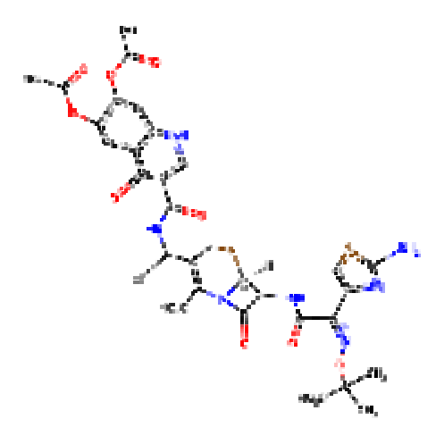 CCC(NC(=O)c1c[nH]c2cc(OC(=O)C(C)(C)C)c(OC(=O)C(C)(C)C)cc2c1=O)C1=C(C(=O)O)N2C(=O)C(NC(=O)/C(=N\OC(C)(C)C(=O)O)c3csc(N)n3)[C@@H]2SC1